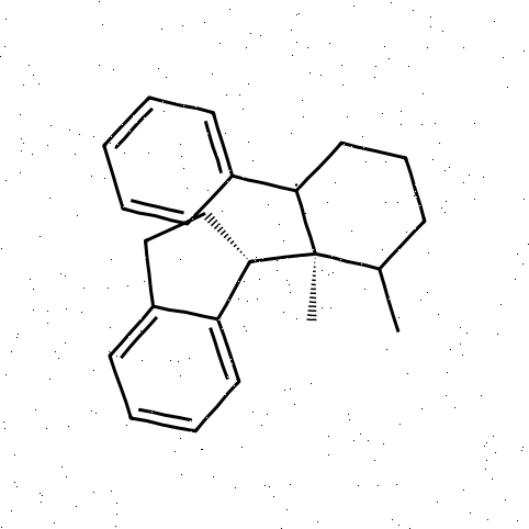 CC1CCC[C](c2ccccc2)[C@]1(C)[C@H]1CCc2ccccc21